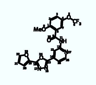 COc1ccc(OC(F)(F)F)cc1C(=O)Nc1cc(-c2nnc(-c3ccco3)o2)ccn1